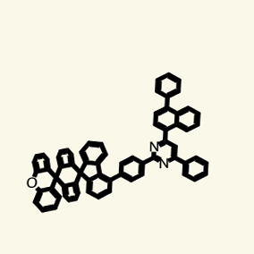 c1ccc(-c2cc(-c3ccc(-c4ccccc4)c4ccccc34)nc(-c3ccc(-c4cccc5c4-c4ccccc4C54c5ccccc5C5(c6ccccc6Oc6ccccc65)c5ccccc54)cc3)n2)cc1